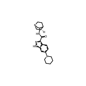 O=C(N[C@H]1CN2CCC1CC2)c1n[nH]c2cc(N3CCCCC3)ccc12